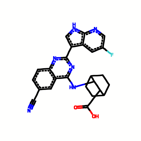 N#Cc1ccc2nc(-c3c[nH]c4ncc(F)cc34)nc(NC3C4CCC(CC4)C3C(=O)O)c2c1